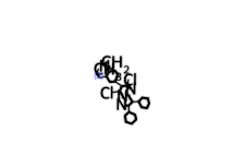 C=Nc1ccc(-c2c(Cl)nc3c(-c4ccccc4)c(-c4ccccc4)nn3c2Cl)cc1/C=C\C